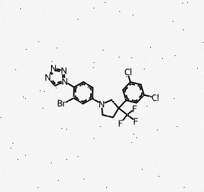 FC(F)(F)C1(c2cc(Cl)cc(Cl)c2)CCN(c2ccc(-n3cnnn3)c(Br)c2)C1